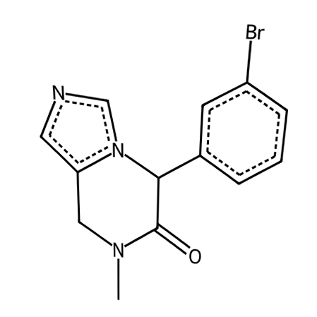 CN1Cc2cncn2C(c2cccc(Br)c2)C1=O